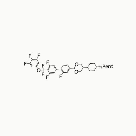 CCCCCC1CCC(C2COC(c3ccc(-c4cc(F)c(C(F)(F)Oc5cc(F)c(F)c(F)c5)c(F)c4)c(F)c3)OC2)CC1